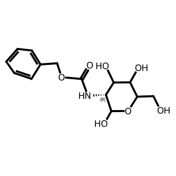 O=C(N[C@H]1C(O)OC(CO)C(O)C1O)OCc1ccccc1